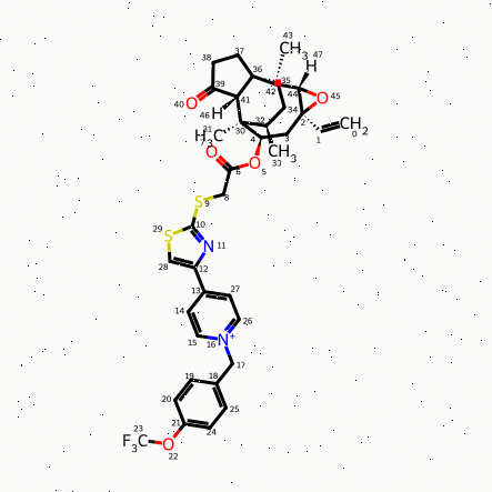 C=C[C@]12C[C@@H](OC(=O)CSc3nc(-c4cc[n+](Cc5ccc(OC(F)(F)F)cc5)cc4)cs3)[C@]3(C)[C@H](C)CC[C@]4(CCC(=O)[C@H]43)[C@@H](C)[C@@H]1O2